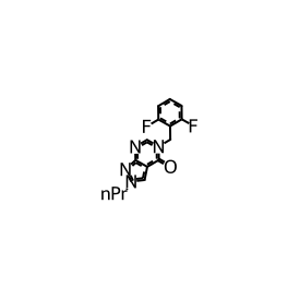 CCCn1cc2c(=O)n(Cc3c(F)cccc3F)cnc2n1